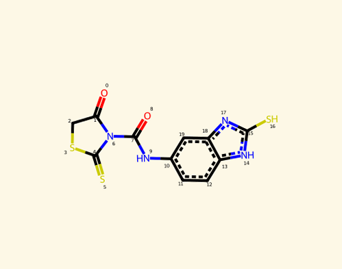 O=C1CSC(=S)N1C(=O)Nc1ccc2[nH]c(S)nc2c1